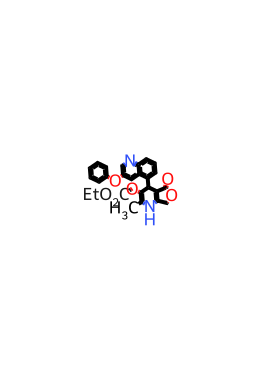 CCOC(=O)OC1=C(C)NC2=C(C(=O)OC2)C1c1cccc2ncc(Oc3ccccc3)cc12